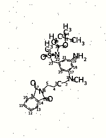 CN(CCCCN1C(=O)c2ccccc2C1=O)c1cc(N)cc(CS(C)(=O)=NC(=O)OC(C)(C)C)c1